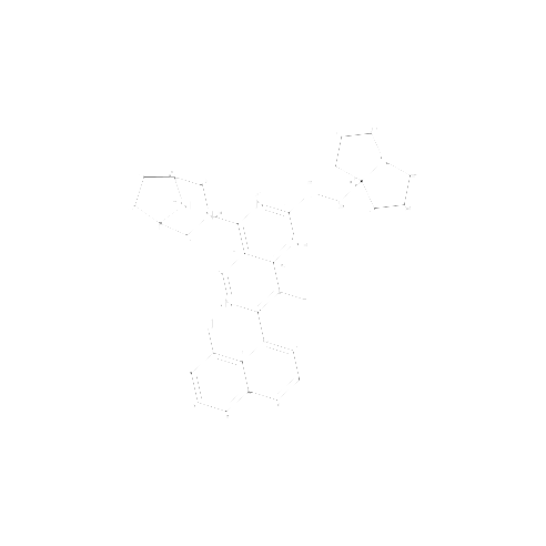 Fc1c(-c2cccc3cccc(Cl)c23)ncc2c(N3CC4CCC(C3)N4)nc(OCC34CCCN3CCC4)nc12